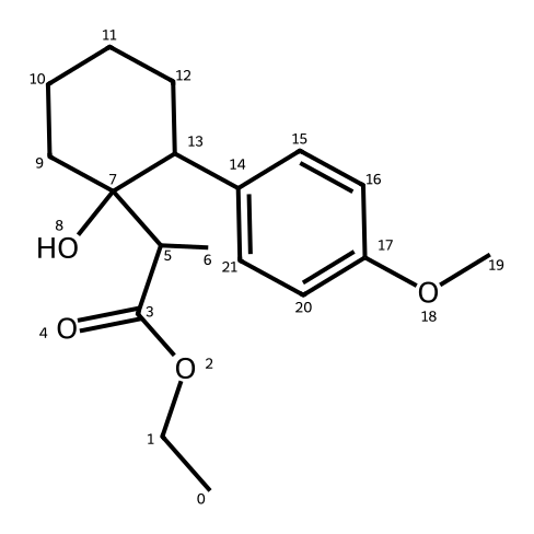 CCOC(=O)C(C)C1(O)CCCCC1c1ccc(OC)cc1